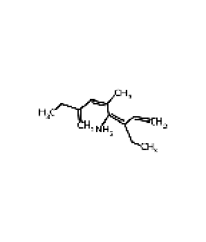 C=C/C(CC)=C(N)\C(C)=C/C(=C)CC